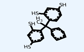 CC(c1ccccc1)(c1ccc(S)cc1S)c1ccc(S)cc1S